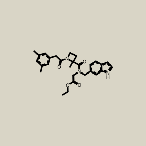 CCOC(=O)CN(Cc1ccc2cc[nH]c2c1)C(=O)C1(C)CCN1C(=O)Cc1cc(C)cc(C)c1